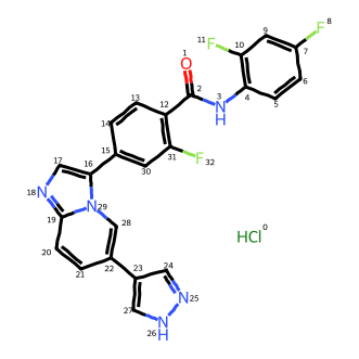 Cl.O=C(Nc1ccc(F)cc1F)c1ccc(-c2cnc3ccc(-c4cn[nH]c4)cn23)cc1F